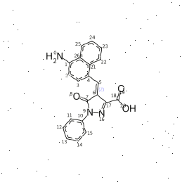 Nc1ccc(/C=C2\C(=O)N(c3ccccc3)N=C2C(=O)O)c2ccccc12